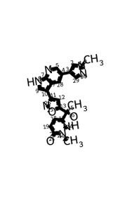 Cn1cc(-c2cnc3[nH]cc(-c4cc(C(C)(O)c5ccc(=O)n(C)n5)on4)c3c2)cn1